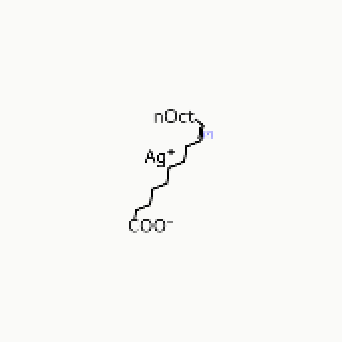 CCCCCCCC/C=C\CCCCCCCC(=O)[O-].[Ag+]